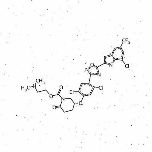 CN(C)CCOC(=O)N1C[C@H](Oc2cc(Cl)c(-c3noc(-c4cn5cc(C(F)(F)F)cc(Cl)c5n4)n3)cc2Cl)CCC1=O